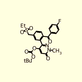 CCS(=O)(=O)Cc1ccc(C(=O)c2ccc(F)cc2)c(-c2nn(C)c(=O)cc2OC(=O)OC(C)(C)C)c1